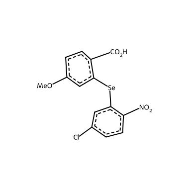 COc1ccc(C(=O)O)c([Se]c2cc(Cl)ccc2[N+](=O)[O-])c1